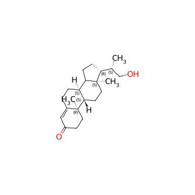 C[C@H](CO)[C@H]1CCC2[C@@H]3CCC4=CC(=O)CC[C@]4(C)[C@H]3CC[C@@]21C